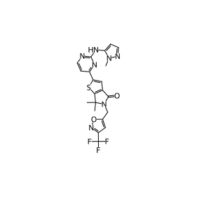 Cn1nccc1Nc1nccc(-c2cc3c(s2)C(C)(C)N(Cc2cc(C(F)(F)F)no2)C3=O)n1